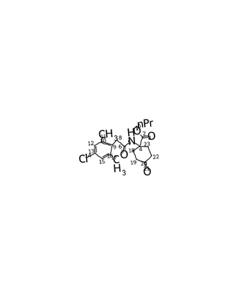 CCCOC(=O)C1(NC(=O)Cc2c(C)cc(Cl)cc2C)CCC(=O)CC1